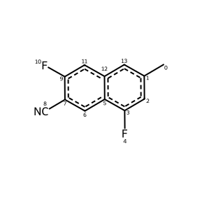 Cc1cc(F)c2cc(C#N)c(F)cc2c1